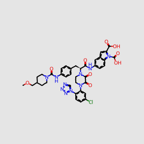 COCC1CCN(C(=O)Nc2ccc(C[C@@H](C(=O)Nc3ccc4c(c3)cc(C(=O)O)n4C(=O)O)N3CCN(c4cc(Cl)ccc4-n4cnnn4)C(=O)C3=O)cc2)CC1